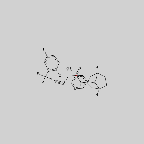 CC(C)(Oc1ccc(F)cc1C(F)(F)F)C(=O)N[C@H]1C[C@H]2CC[C@@H](C1)N2c1ccc(C#N)nc1